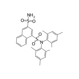 Cc1cc(C)c(N(c2c(C)cc(C)cc2C)S(=O)(=O)c2cc(S(N)(=O)=O)cc3ccccc23)c(C)c1